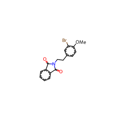 COc1ccc(CCN2C(=O)c3ccccc3C2=O)cc1Br